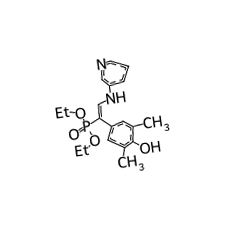 CCOP(=O)(OCC)/C(=C/Nc1cccnc1)c1cc(C)c(O)c(C)c1